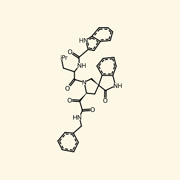 CC(C)CC(NC(=O)c1cc2ccccc2[nH]1)C(=O)N1C[C@]2(C[C@H]1C(=O)C(=O)NCc1ccccc1)C(=O)Nc1ccccc12